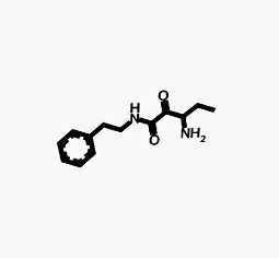 CCC(N)C(=O)C(=O)NCCc1ccccc1